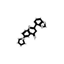 O=C1CC(c2cccc3c2OCO3)=Nc2ccc(N3CCCC3)cc21